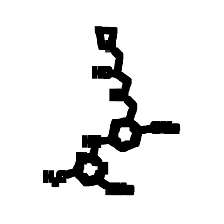 CNc1cc(C)nc(Nc2ccc(OC)c(CNCC(O)CN3CCC3)c2)n1